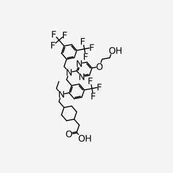 CCN(CC1CCC(CC(=O)O)CC1)c1ccc(C(F)(F)F)cc1CN(Cc1cc(C(F)(F)F)cc(C(F)(F)F)c1)c1ncc(OCCO)cn1